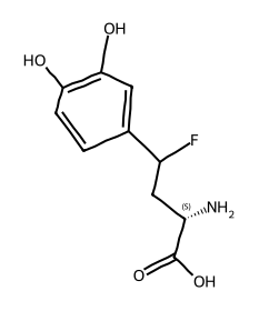 N[C@@H](CC(F)c1ccc(O)c(O)c1)C(=O)O